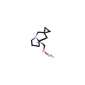 COC[C@@]12CCCN1CC1(CC1)C2